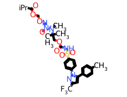 Cc1ccc(-c2cc(C(F)(F)F)nn2-c2ccc(S(=O)(=O)NC(=O)OCC(C)(C)N(C)/[N+]([O-])=N/OCOC(=O)C(C)C)cc2)cc1